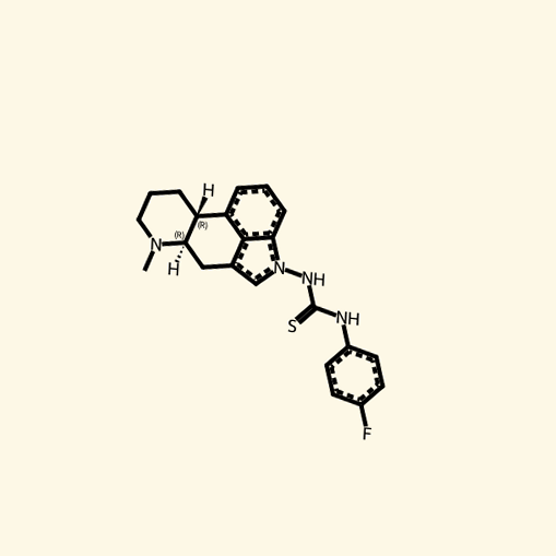 CN1CCC[C@@H]2c3cccc4c3c(cn4NC(=S)Nc3ccc(F)cc3)C[C@H]21